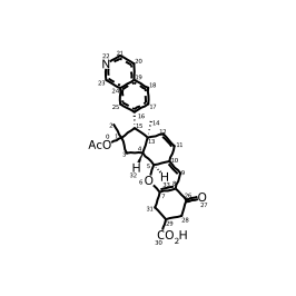 CC(=O)OC1(C)C[C@H]2[C@@H]3OC4=C(C=C3C=C[C@]2(C)[C@H]1c1ccc2ccncc2c1)C(=O)CC(C(=O)O)C4